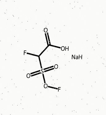 O=C(O)C(F)S(=O)(=O)OF.[NaH]